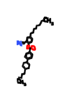 CCCCCCCCc1ccc(OC(=O)c2ccc(C3CCC(CCCCC)CC3)cc2)c(C#N)c1